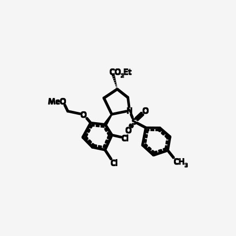 CCOC(=O)[C@H]1C[C@H](c2c(OCOC)ccc(Cl)c2Cl)N(S(=O)(=O)c2ccc(C)cc2)C1